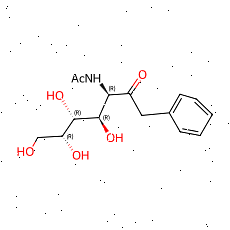 CC(=O)N[C@@H](C(=O)Cc1ccccc1)[C@@H](O)[C@@H](O)[C@H](O)CO